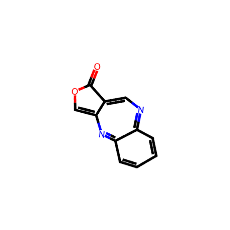 O=c1occ2nc3ccccc3ncc1-2